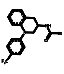 CCC(=O)NC1Cc2ccccc2N(c2ccc(C(F)(F)F)cc2)C1